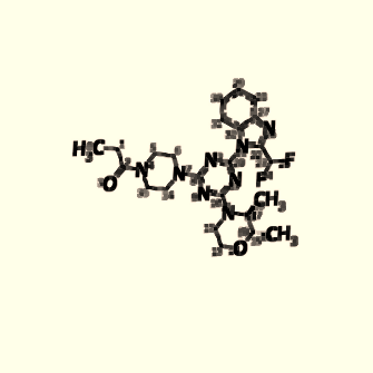 CCC(=O)N1CCN(c2nc(N3CCO[C@@H](C)[C@@H]3C)nc(-n3c(C(F)F)nc4ccccc43)n2)CC1